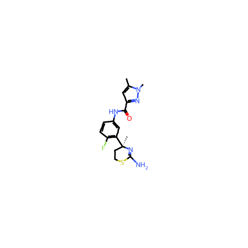 Cc1cc(C(=O)Nc2ccc(F)c([C@]3(C)CCSC(N)=N3)c2)nn1C